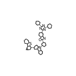 C1=c2cc(-c3ccc4c(c3)c3ccccc3n4-c3cccc(-c4nc5cc(-c6nc(-c7ccccc7)nc(-c7ccccc7)n6)ccc5o4)c3)c3sc4ccccc4c3c2=1